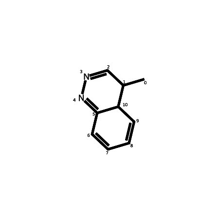 CC1C=NN=C2C=CC=CC21